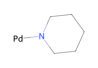 [Pd][N]1CCCCC1